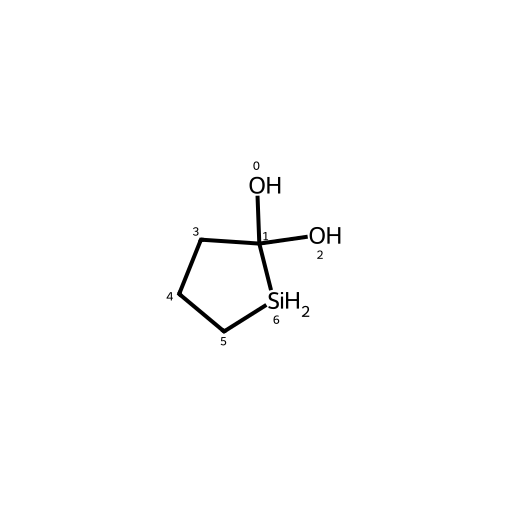 OC1(O)CCC[SiH2]1